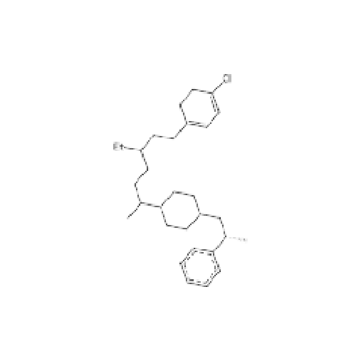 CCC(CCC1=CC=C(Cl)CC1)CCC(C)C1CCC(C[C@H](C)c2ccccc2)CC1